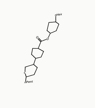 CCCCCCC1CCC(OC(=O)C2CCC(C3CCC(CCCCC)CC3)CC2)CC1